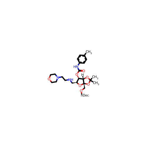 CCCCCCCCCCOC[C@@]12O[C@@H](CNCCN3CCOCC3)[C@@H](OC(=O)Nc3ccc(C)cc3)[C@@H]1OC(C)(C)O2